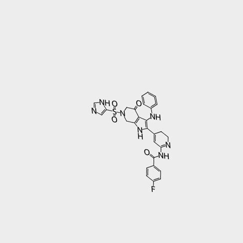 O=C(NC1=NCCC(c2[nH]c3c(c2NC2=C=C=CC=C2)C(=O)CN(S(=O)(=O)c2cnc[nH]2)C3)=C1)c1ccc(F)cc1